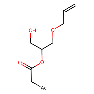 C=CCOCC(CO)OC(=O)CC(C)=O